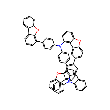 c1ccc(-n2c3ccccc3c3cc(-c4ccc5oc6cccc(N(c7ccc(-c8cccc9c8oc8ccccc89)cc7)c7ccc(-c8cccc9c8oc8ccccc89)cc7)c6c5c4)ccc32)cc1